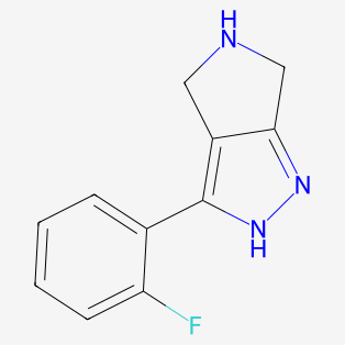 Fc1ccccc1-c1[nH]nc2c1CNC2